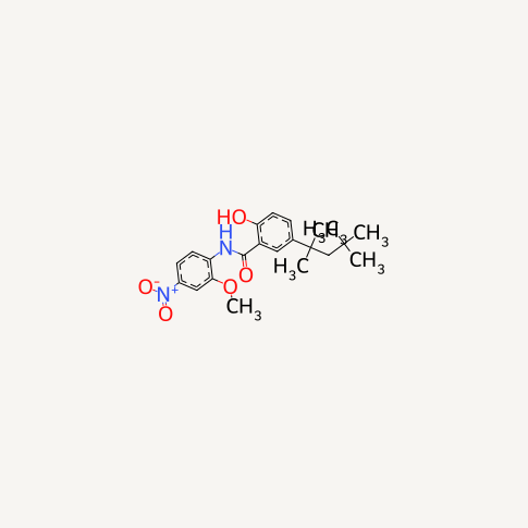 COc1cc([N+](=O)[O-])ccc1NC(=O)c1cc(C(C)(C)CC(C)(C)C)ccc1O